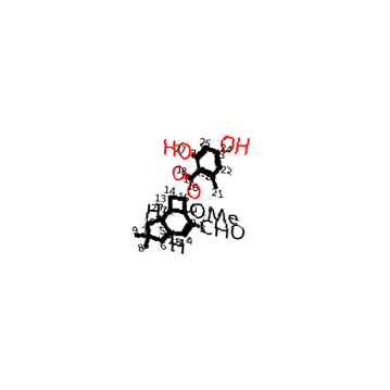 CO[C@]12C(C=O)=C[C@@H]3CC(C)(C)C[C@@H]3[C@@]1(C)C[C@H]2OC(=O)c1c(C)cc(O)cc1O